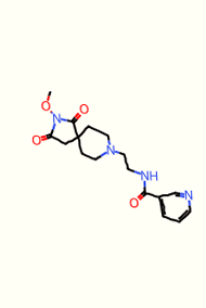 CON1C(=O)CC2(CCN(CCNC(=O)c3cccnc3)CC2)C1=O